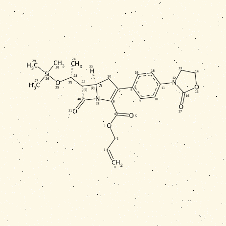 C=CCOC(=O)C1=C(c2ccc(N3CCOC3=O)cc2)C[C@@H]2[C@@H]([C@@H](C)O[Si](C)(C)C)C(=O)N12